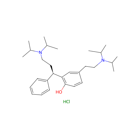 CC(C)N(CCc1ccc(O)c([C@H](CCN(C(C)C)C(C)C)c2ccccc2)c1)C(C)C.Cl